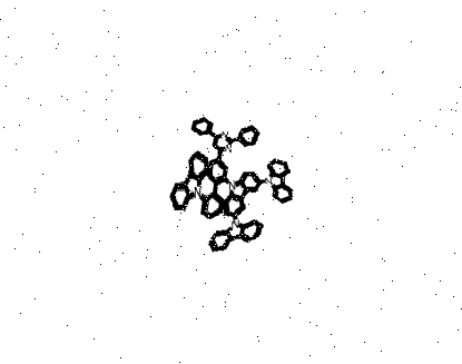 c1ccc(-c2cc(-c3ccc(-c4ccccc4-n4c5ccccc5c5ccccc54)c(-n4c5ccc(-n6c7ccccc7c7ccccc76)cc5c5cc(-n6c7ccccc7c7ccccc76)ccc54)c3)nc(-c3ccccc3)n2)cc1